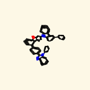 c1ccc(-c2ccc3c(c2)c2ccccc2n3-c2ccc3c(c2)oc2cccc(-c4ccc(-c5nc6ccccc6n5-c5ccccc5)cc4)c23)cc1